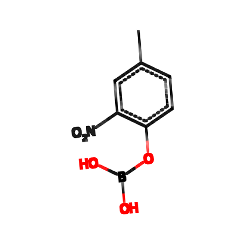 Cc1ccc(OB(O)O)c([N+](=O)[O-])c1